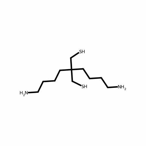 NCCCCC(CS)(CS)CCCCN